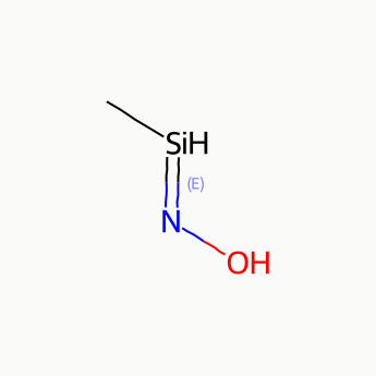 C/[SiH]=N/O